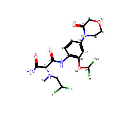 CN(CC(F)F)[C@H](C(N)=O)C(=O)Nc1ccc(N2CCOCC2=O)cc1OC(F)F